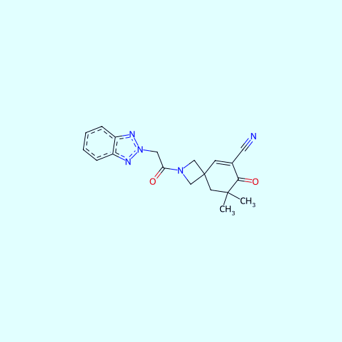 CC1(C)CC2(C=C(C#N)C1=O)CN(C(=O)Cn1nc3ccccc3n1)C2